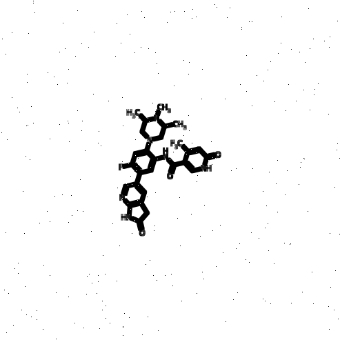 CC1CN(c2cc(F)c(-c3cnc4c(c3)CC(=O)N4)cc2NC(=O)c2c[nH]c(=O)cc2C(F)(F)F)CC(C)N1C